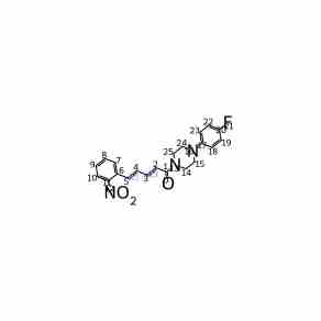 O=C(/C=C/C=C/c1ccccc1[N+](=O)[O-])N1CCN(c2ccc(F)cc2)CC1